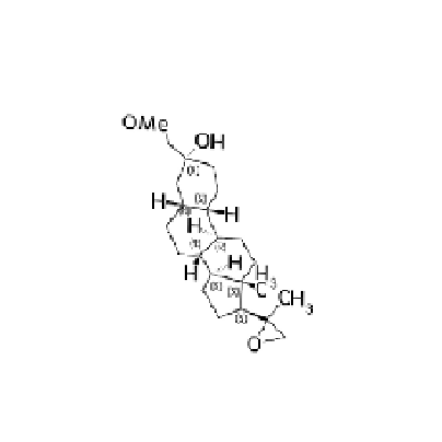 COC[C@@]1(O)CC[C@H]2[C@H](CC[C@@H]3[C@@H]2CC[C@]2(C)[C@@H](C4(C)CO4)CC[C@@H]32)C1